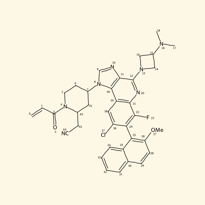 C=CC(=O)N1CCC(n2cnc3c(N4CC(N(C)C)C4)nc4c(F)c(-c5c(OC)ccc6ccccc56)c(Cl)cc4c32)CC1CC#N